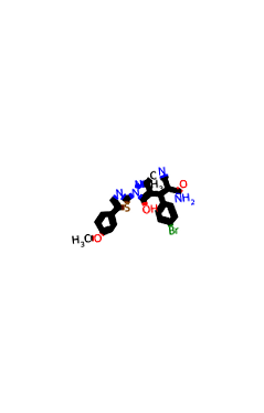 COc1ccc(-c2cnc(-n3nc(C)c(C(c4ccc(Br)cc4)C(C#N)C(N)=O)c3O)s2)cc1